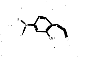 CCN(CC)c1ccc(C=C=O)c(O)c1